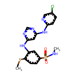 CNS(=O)(=O)c1ccc(SC)c(Nc2cc(Nc3ccc(Cl)cn3)ncn2)c1